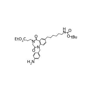 CCOC(=O)CCN1CC(=O)N(Cc2ccc(N)cc2)c2ccc(CCCCCCNC(=O)OC(C)(C)C)cc2C1=O